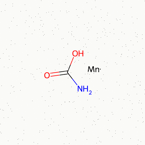 NC(=O)O.[Mn]